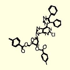 Cc1ccc(C(=O)OC[C@H]2O[C@@H](n3cnc4c(-n5cnc(-c6ccccc6)c5-c5ccccc5)nc(Cl)nc43)C[C@@H]2OC(=O)c2ccc(C)cc2)cc1